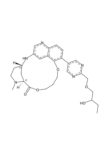 CCC(O)COCc1ncc(-c2ccc3ncc4cc3c2OCCCOC(=O)[C@@H]2C[C@H](CCN2C)N4)cn1